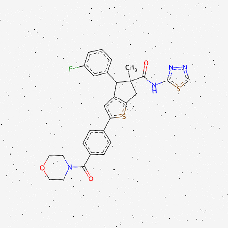 CC1(C(=O)Nc2nncs2)Cc2sc(-c3ccc(C(=O)N4CCOCC4)cc3)cc2C1c1cccc(F)c1